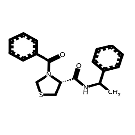 CC(NC(=O)[C@@H]1CSCN1C(=O)c1ccccc1)c1ccccc1